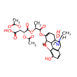 CC(=O)O[C@@H](C(=O)O)[C@@H](OC(C)=O)C(=O)O[C@@H](C)C(=O)OC1=CC[C@@]2(O)[C@H]3Cc4ccc(O)c5c4[C@@]2(CCN3C)[C@H]1O5